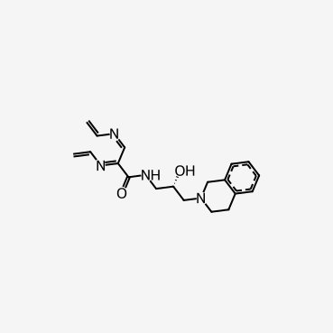 C=C/N=C\C(=N/C=C)C(=O)NC[C@H](O)CN1CCc2ccccc2C1